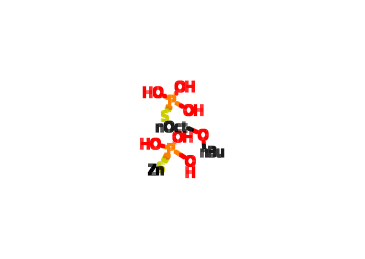 CCCCCCCCOCCCC.OP(O)(O)=S.OP(O)(O)=S.[Zn]